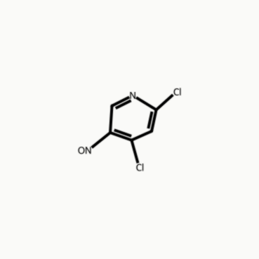 O=Nc1cnc(Cl)cc1Cl